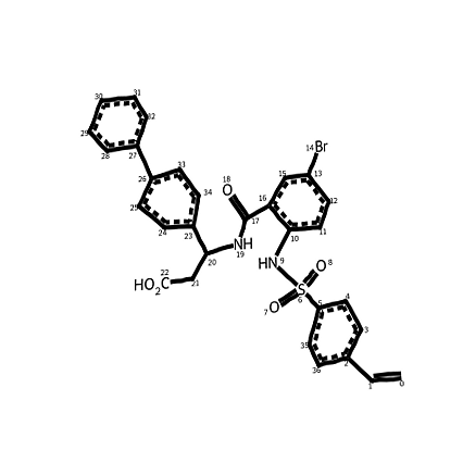 C=Cc1ccc(S(=O)(=O)Nc2ccc(Br)cc2C(=O)NC(CC(=O)O)c2ccc(-c3ccccc3)cc2)cc1